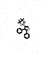 CC1(C)OB(c2coc(-c3ccccc3)c2-c2ccccc2)OC1(C)C